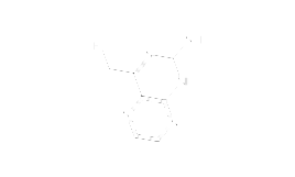 NC1N=C(CO)c2nccnc2N1